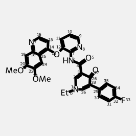 CCn1cc(C(=O)Nc2ncccc2Oc2ccnc3cc(OC)c(OC)cc23)c(=O)c(-c2ccc(F)cc2)c1